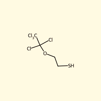 SCCOC(Cl)(Cl)C(Cl)(Cl)Cl